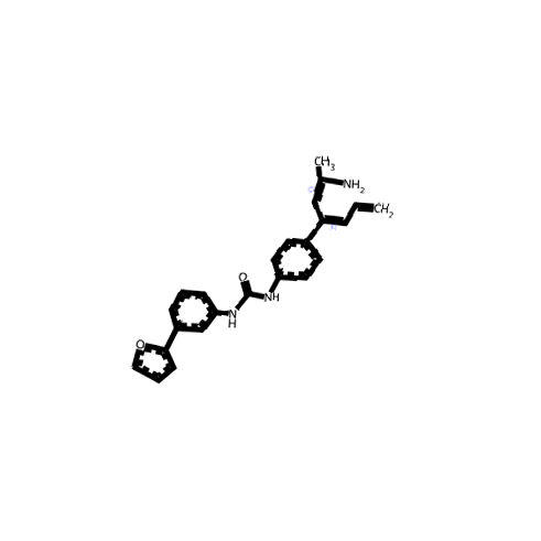 C=C/C=C(\C=C(\C)N)c1ccc(NC(=O)Nc2cccc(-c3ccco3)c2)cc1